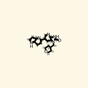 O=c1[nH]c2ncc(-c3ccc4[nH]ccc4n3)cc2n1CC1CCOCC1